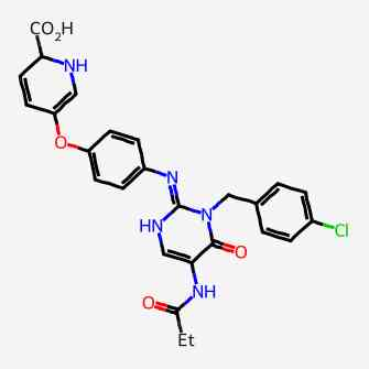 CCC(=O)Nc1c[nH]/c(=N\c2ccc(OC3=CNC(C(=O)O)C=C3)cc2)n(Cc2ccc(Cl)cc2)c1=O